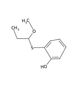 CCC(OC)Sc1ccccc1O